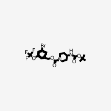 CC(C)(C)OC(=O)NC1CCN(C(=O)OCc2cc(Br)cc(OC(F)(F)F)c2)CC1